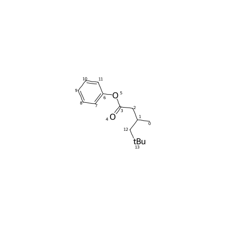 CC(CC(=O)Oc1ccccc1)CC(C)(C)C